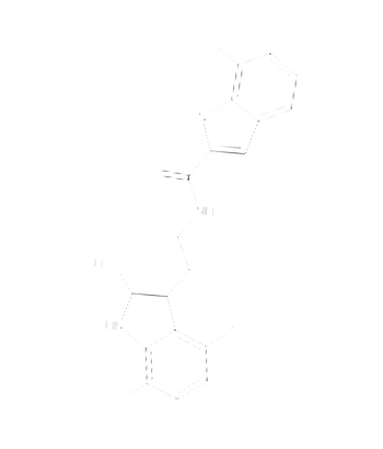 Cc1ccc(F)c2c1C(CCNC(=O)c1cc3cccc(F)c3[nH]1)C(C)N2